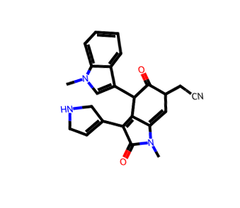 CN1C(=O)C(C2=CCNC2)=C2C1=CC(CC#N)C(=O)C2c1cn(C)c2ccccc12